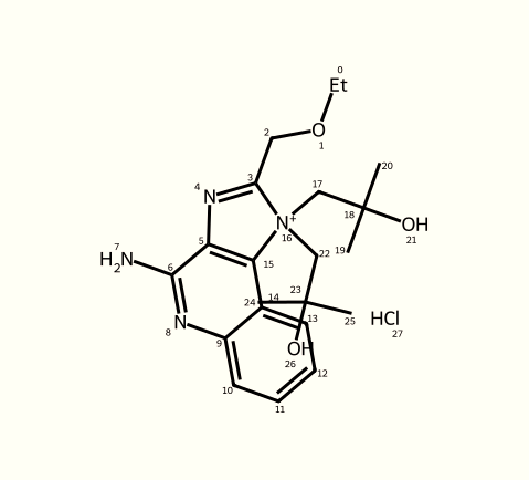 CCOCC1=Nc2c(N)nc3ccccc3c2[N+]1(CC(C)(C)O)CC(C)(C)O.Cl